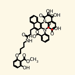 COC(=O)c1c(O)cccc1OCCCCNC(=O)CCc1cc(N(C(=O)C(=O)O)c2ccccc2C(=O)O)c(N(C(=O)C(=O)O)c2ccccc2C(=O)O)c2ccccc12